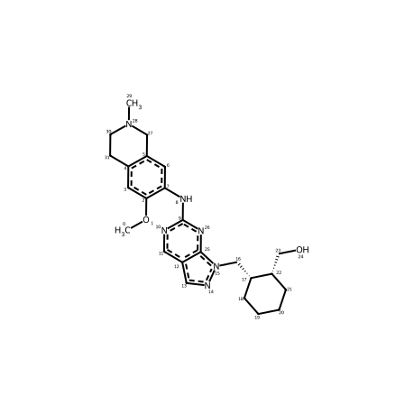 COc1cc2c(cc1Nc1ncc3cnn(C[C@H]4CCCC[C@H]4CO)c3n1)CN(C)CC2